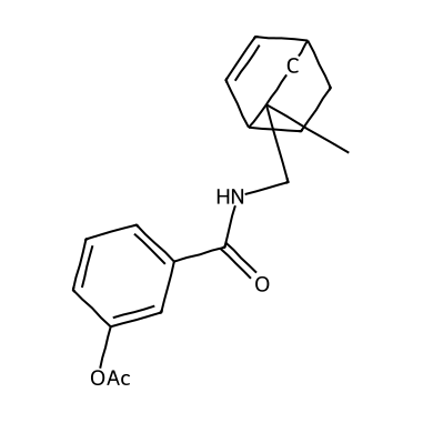 CC(=O)Oc1cccc(C(=O)NCC2(C)CC3C=CC2CC3)c1